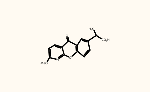 COc1ccc2c(=O)c3cc(C(C)C(=O)O)ccc3oc2n1